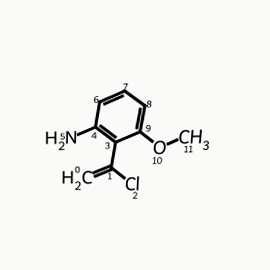 C=C(Cl)c1c(N)cccc1OC